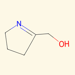 OCC1=NCCC1